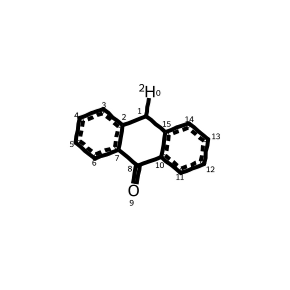 [2H]C1c2ccccc2C(=O)c2ccccc21